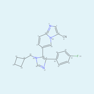 N#Cc1cnc2ccc(-c3c(-c4ccc(F)cc4)ncn3CC3CCC3)cn12